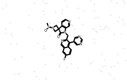 C[S+]([O-])N1CC2(C1)C(=O)N(Cc1ncc3cc(F)ccc3c1-c1cncnc1)c1cnccc12